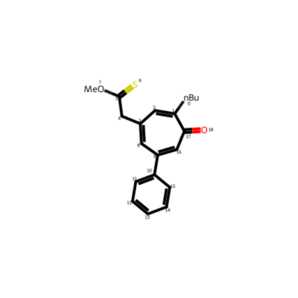 CCCCc1cc(CC(=S)OC)cc(-c2ccccc2)cc1=O